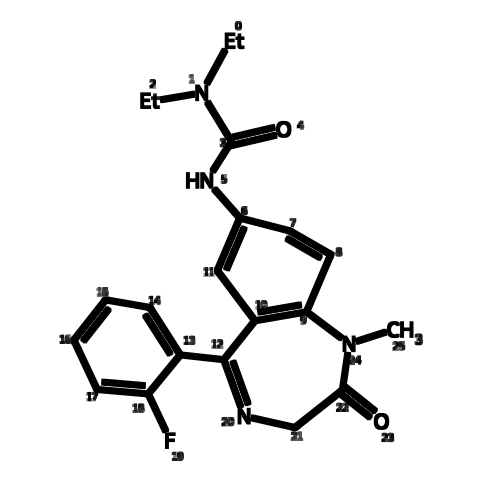 CCN(CC)C(=O)Nc1ccc2c(c1)C(c1ccccc1F)=NCC(=O)N2C